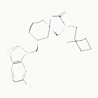 CCC1(CN2C[C@@]3(CCC[C@H](Cn4cnc5ccc(C#N)cc54)C3)OC2=O)CCC1